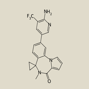 CN1C(=O)c2cccn2-c2cc(-c3cnc(N)c(C(F)(F)F)c3)ccc2C12CC2